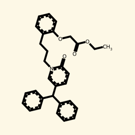 CCOC(=O)COc1ccccc1CCCn1cc(C(c2ccccc2)c2ccccc2)ccc1=O